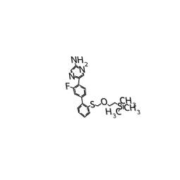 C[Si](C)(C)CCOCSc1ccccc1-c1ccc(-c2cnc(N)cn2)c(F)c1